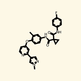 Cc1cc(NC(=O)C2(C(=O)Nc3ccc(F)cc3)CC2)ccc1Oc1ccnc(-c2cnn(C)c2)c1